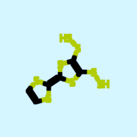 SSC1=C(SS)SC(=C2SC=CS2)S1